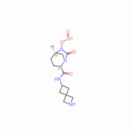 O=[SH]ON1C(=O)N2C[C@H]1CC[C@@H]2C(=O)NC1CC2(CNC2)C1